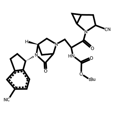 CC(C)(C)OC(=O)NC(CN1C[C@@H]2CC1C(=O)N2[C@H]1CCc2cc(C#N)ccc21)C(=O)N1C(C#N)CC2CC21